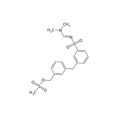 CN(C)C=NS(=O)(=O)c1cccc(Cc2cccc(COS(C)(=O)=O)c2)c1